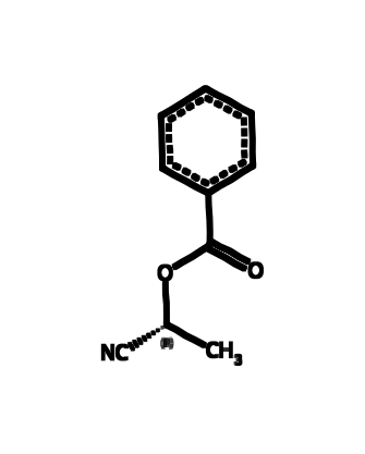 C[C@H](C#N)OC(=O)c1ccccc1